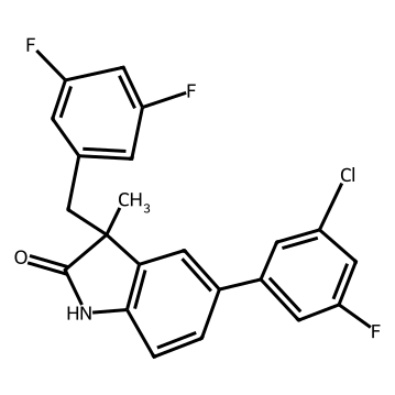 CC1(Cc2cc(F)cc(F)c2)C(=O)Nc2ccc(-c3cc(F)cc(Cl)c3)cc21